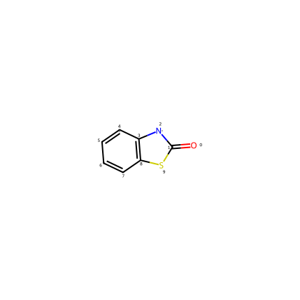 O=C1[N]c2[c]cccc2S1